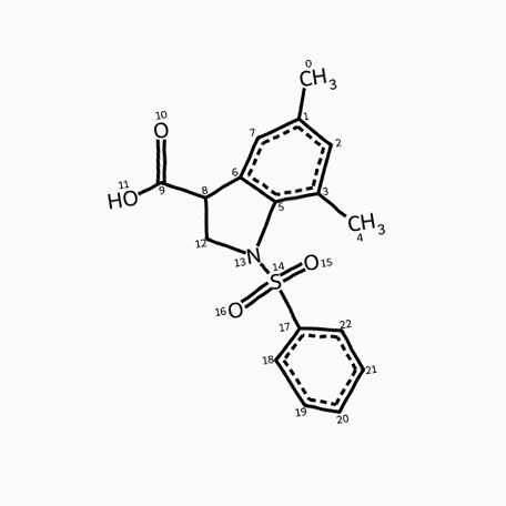 Cc1cc(C)c2c(c1)C(C(=O)O)CN2S(=O)(=O)c1ccccc1